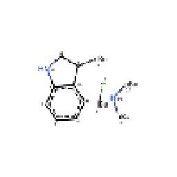 CCC(C)Cl.CCCCC1CNc2ccccc21.CCCCNCCCC